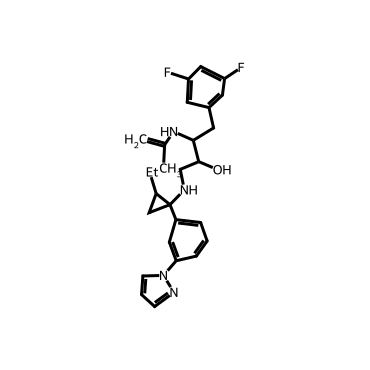 C=C(C)NC(Cc1cc(F)cc(F)c1)C(O)CNC1(c2cccc(-n3cccn3)c2)CC1CC